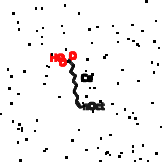 CCCCCCCC/C=C\CCCCCCCC(=O)OO.[Ce]